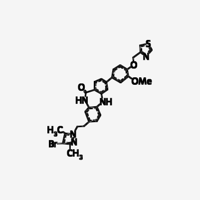 COc1cc(-c2ccc3c(c2)Nc2ccc(CCn4nc(C)c(Br)c4C)cc2NC3=O)ccc1OCc1cscn1